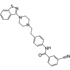 N#Cc1cccc(C(=O)Nc2ccc(CCN3CCN(c4nsc5ccccc45)CC3)cc2)c1